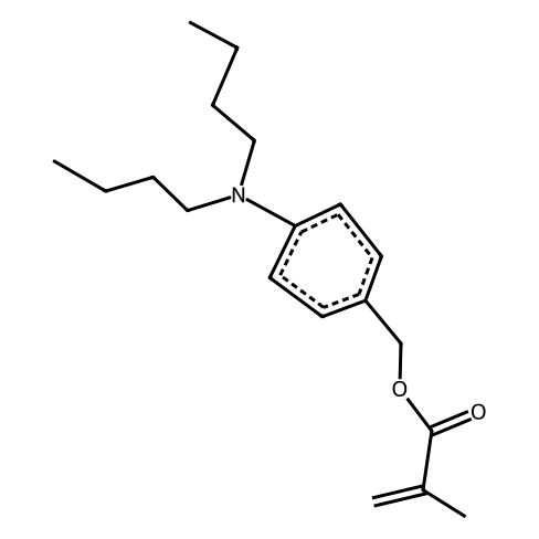 C=C(C)C(=O)OCc1ccc(N(CCCC)CCCC)cc1